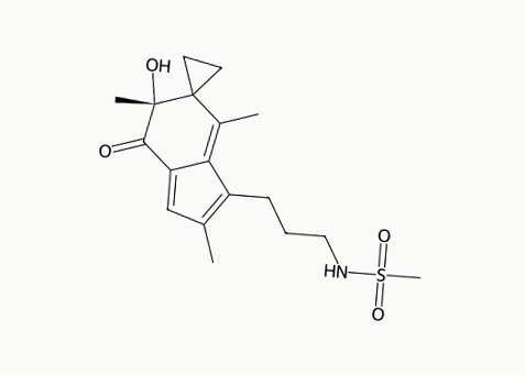 CC1=C(CCCNS(C)(=O)=O)C2=C(C)C3(CC3)[C@@](C)(O)C(=O)C2=C1